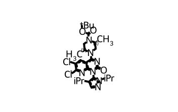 CC(C)c1cnn(C(C)C)c1-n1c(=O)nc(N2C[C@@H](C)N(C(=O)OC(C)(C)C)C[C@@H]2C)c2cc(Cl)c(Cl)nc21